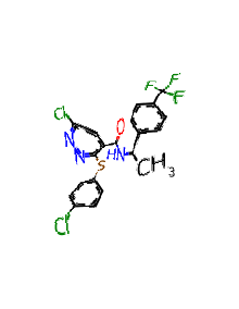 CC(NC(=O)c1cc(Cl)nnc1Sc1ccc(Cl)cc1)c1ccc(C(F)(F)F)cc1